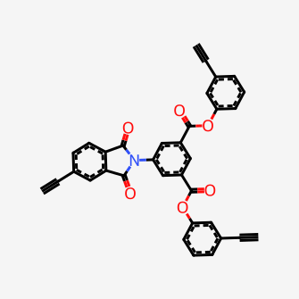 C#Cc1cccc(OC(=O)c2cc(C(=O)Oc3cccc(C#C)c3)cc(N3C(=O)c4ccc(C#C)cc4C3=O)c2)c1